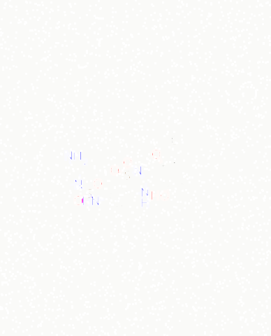 CC(C)CCC1(C)C(=O)C(C2=NS(=O)(=O)c3cc(NS(=O)(=O)N4CCC(N)C4)ccc3N2)=C(O)c2ccccc21